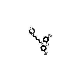 Brc1ccc2c(c1)Oc1cc(Br)ccc1N2CCCCCN1CCOCC1